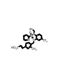 Cc1cc(C=CC(=O)O)ccc1COc1cc(C(F)(F)F)ccc1N(CC(C)C)S(=O)(=O)c1ccccn1